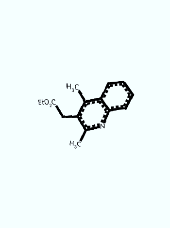 CCOC(=O)Cc1c(C)nc2ccccc2c1C